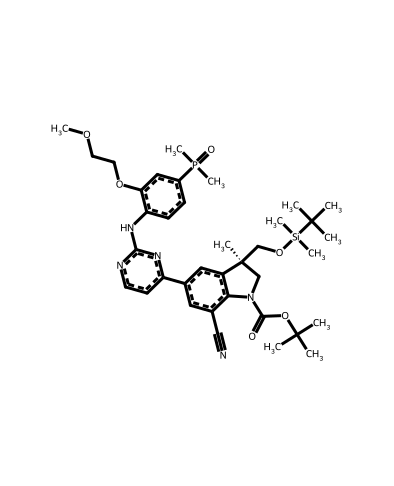 COCCOc1cc(P(C)(C)=O)ccc1Nc1nccc(-c2cc(C#N)c3c(c2)[C@@](C)(CO[Si](C)(C)C(C)(C)C)CN3C(=O)OC(C)(C)C)n1